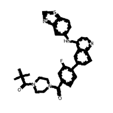 CC(C)(C)C(=O)N1CCN(C(=O)c2ccc(-c3ccc4nccc(Nc5ccc6scnc6c5)c4c3)c(F)c2)CC1